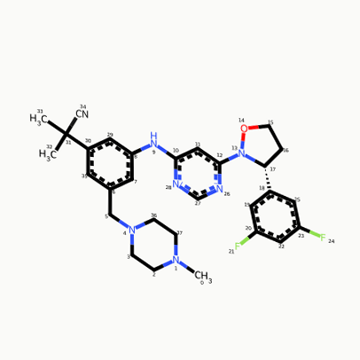 CN1CCN(Cc2cc(Nc3cc(N4OCC[C@@H]4c4cc(F)cc(F)c4)ncn3)cc(C(C)(C)C#N)c2)CC1